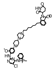 COc1cc(N2CCC(N3CCN(CCCCCCCc4cccc5c4CN(C4CCC(=O)NC4=O)C5=C=O)CC3)CC2)ccc1Nc1ncc(Cl)c(Nc2ccccc2P(C)C)n1